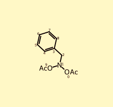 CC(=O)ON(Cc1ccccc1)OC(C)=O